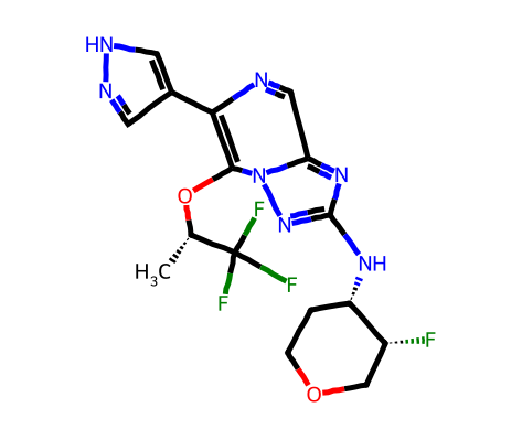 C[C@H](Oc1c(-c2cn[nH]c2)ncc2nc(N[C@H]3CCOC[C@H]3F)nn12)C(F)(F)F